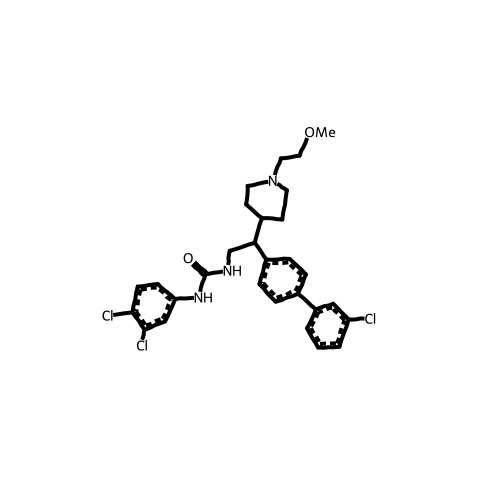 COCCN1CCC(C(CNC(=O)Nc2ccc(Cl)c(Cl)c2)c2ccc(-c3cccc(Cl)c3)cc2)CC1